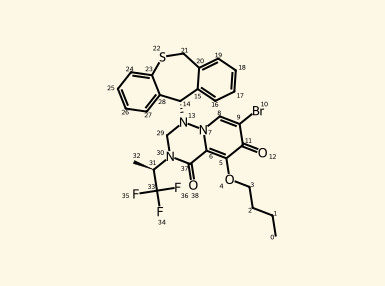 CCCCOc1c2n(cc(Br)c1=O)N([C@H]1c3ccccc3CSc3ccccc31)CN([C@H](C)C(F)(F)F)C2=O